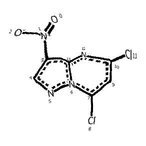 O=[N+]([O-])c1cnn2c(Cl)cc(Cl)nc12